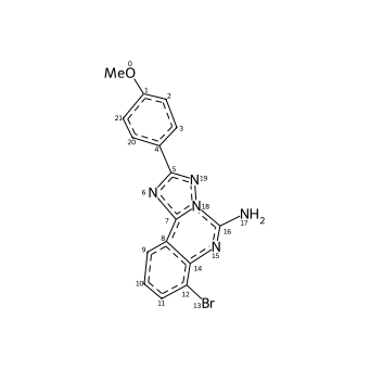 COc1ccc(-c2nc3c4cccc(Br)c4nc(N)n3n2)cc1